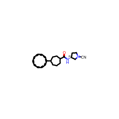 N#CN1CC[C@@H](NC(=O)C2CCCC(c3ccccccccc3)CC2)C1